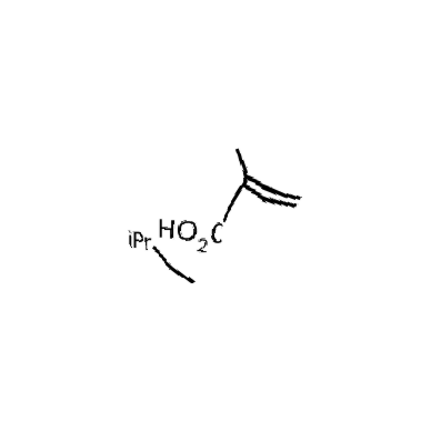 C=C(C)C(=O)O.CC(C)C